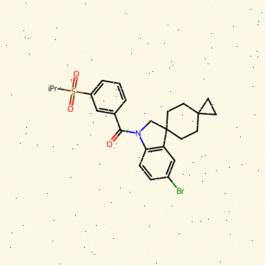 CC(C)S(=O)(=O)c1cccc(C(=O)N2CC3(CCC4(CC4)CC3)c3cc(Br)ccc32)c1